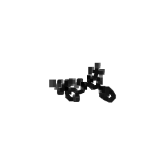 CN(CC1CN(S(C)(=O)=O)CCO1)c1cc(N2CC3CCC(C2)O3)nc(C(F)(F)F)n1